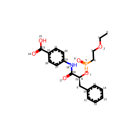 CCOCC[PH](=O)O[C@@H](Cc1ccccc1)C(=O)Nc1ccc(C(=O)O)cc1